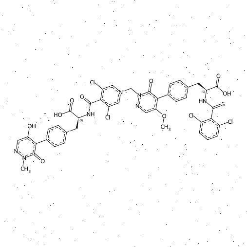 COc1cnn(C[n+]2cc(Cl)c(C(=O)N[C@@H](Cc3ccc(-c4c(O)cnn(C)c4=O)cc3)C(=O)O)c(Cl)c2)c(=O)c1-c1ccc(C[C@H](NC(=S)c2c(Cl)cccc2Cl)C(=O)O)cc1